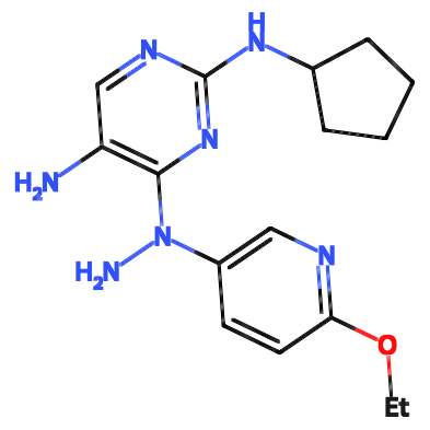 CCOc1ccc(N(N)c2nc(NC3CCCC3)ncc2N)cn1